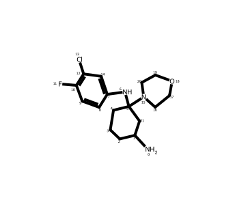 NC1CCCC(Nc2ccc(F)c(Cl)c2)(N2CCOCC2)C1